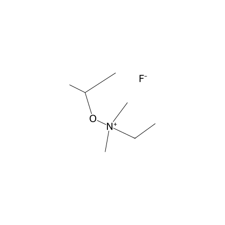 CC[N+](C)(C)OC(C)C.[F-]